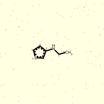 CCNc1ccsc1